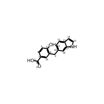 O=C(O)c1ccc(O)c(Cc2ccc3cc[nH]c3c2)c1